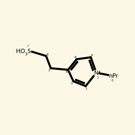 CCC[n+]1ccc(CCS(=O)(=O)O)cc1